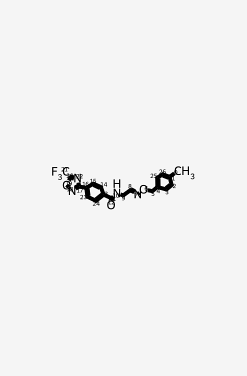 Cc1ccc(CO/N=C/CNC(=O)c2ccc(-c3noc(C(F)(F)F)n3)cc2)cc1